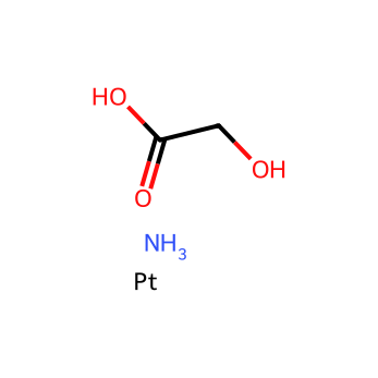 N.O=C(O)CO.[Pt]